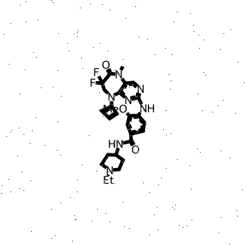 CCN1CCC(NC(=O)c2ccc(Nc3ncc4c(n3)N(C3=CC=C3)CC(F)(F)C(=O)N4C)c(OC)c2)CC1